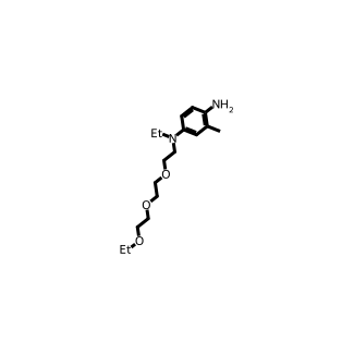 CCOCCOCCOCCN(CC)c1ccc(N)c(C)c1